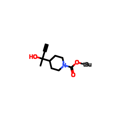 C#CC(C)(O)C1CCN(C(=O)OC(C)(C)C)CC1